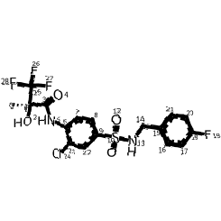 C[C@@](O)(C(=O)Nc1ccc(S(=O)(=O)NCc2ccc(F)cc2)cc1Cl)C(F)(F)F